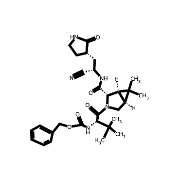 CC(C)(C)[C@H](NC(=O)OCc1ccccc1)C(=O)N1C[C@H]2[C@@H]([C@H]1C(=O)N[C@H](C#N)C[C@@H]1CCNC1=O)C2(C)C